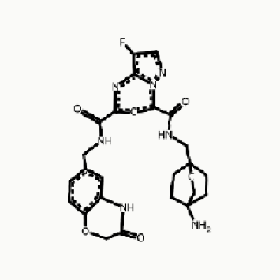 NC12CCC(CNC(=O)c3cc(C(=O)NCc4ccc5c(c4)NC(=O)CO5)nc4c(F)cnn34)(CC1)CC2